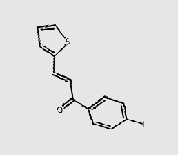 O=C(C=Cc1cccs1)c1ccc(I)cc1